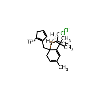 CC1=CCC(CC2=[C]([Ti+2])CC=C2)(SC(C)C)C(C(C)(C)C)=C1.[Cl-].[Cl-]